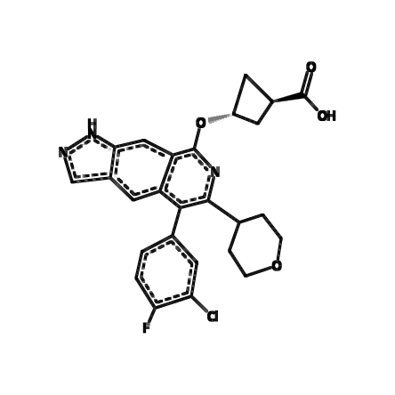 O=C(O)[C@H]1C[C@H](Oc2nc(C3CCOCC3)c(-c3ccc(F)c(Cl)c3)c3cc4cn[nH]c4cc23)C1